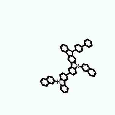 c1ccc(-c2ccc(C3c4ccccc4-c4cc5c6cc(-c7ccc8c(c7)c7ccccc7n8-c7ccc8ccccc8c7)ccc6n(-c6ccc7ccccc7c6)c5cc43)cc2)cc1